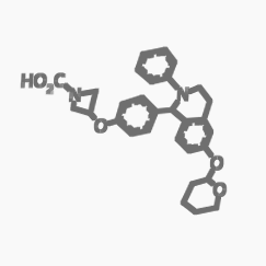 O=C(O)N1CC(Oc2ccc(C3c4ccc(OC5CCCCO5)cc4CCN3c3ccccc3)cc2)C1